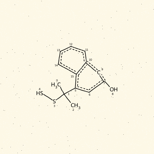 CC(C)(SS)c1cc(O)cc2ccccc12